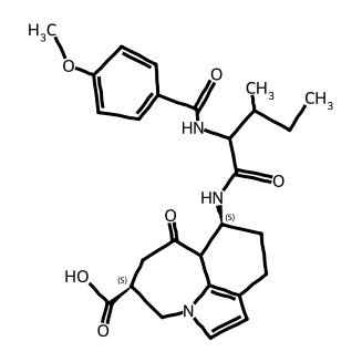 CCC(C)C(NC(=O)c1ccc(OC)cc1)C(=O)N[C@H]1CCc2ccn3c2C1C(=O)C[C@H](C(=O)O)C3